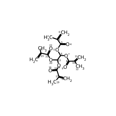 C=C(C)C(=O)O[C](OC(=O)C(=C)C)C(OC(=O)C(=C)C)OC(=O)C(=C)C